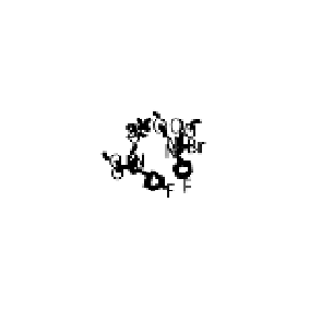 CCOC(=O)c1cc(-c2ccc(F)cc2)nn1CCO[Si](C)(C)C(C)(C)C.CCOCCn1nc(-c2ccc(F)cc2)c(Br)c1C(=O)OCC